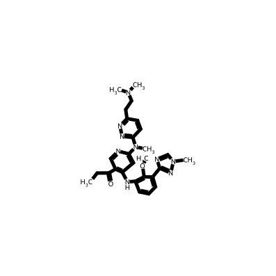 CCC(=O)c1cnc(N(C)c2ccc(CCN(C)C)nn2)cc1Nc1cccc(-c2ncn(C)n2)c1OC